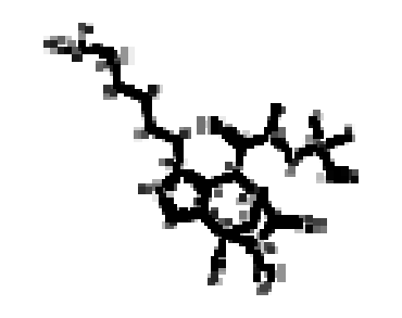 CN(O[Si](C)(C)C(C)(C)C)C(=N)[C@@H]1c2c(cnn2CCCCNC(=O)O)[C@@H]2CN1C(=O)N2O